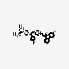 CC(C)N1CCN(C(CN2CCN(CCC(=O)c3ccccc3-c3ccc(F)cc3)CC2)c2ccc(F)cc2)CC1